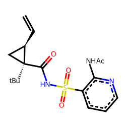 C=C[C@@H]1C[C@@]1(C(=O)NS(=O)(=O)c1cccnc1NC(C)=O)C(C)(C)C